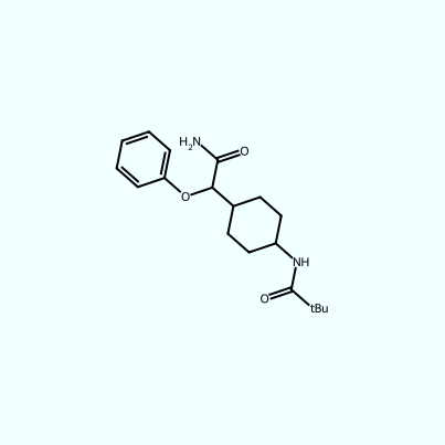 CC(C)(C)C(=O)NC1CCC(C(Oc2ccccc2)C(N)=O)CC1